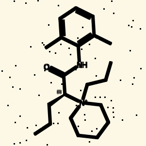 CCC[C@@H](C(=O)Nc1c(C)cccc1C)[N+]1(CCC)CCCCC1